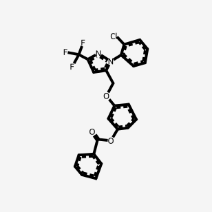 O=C(Oc1cccc(OCc2cc(C(F)(F)F)nn2-c2ccccc2Cl)c1)c1ccccc1